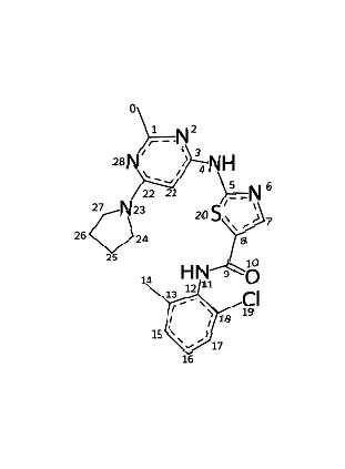 Cc1nc(Nc2ncc(C(=O)Nc3c(C)cccc3Cl)s2)cc(N2CCCC2)n1